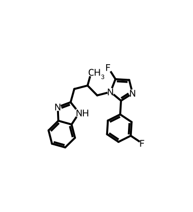 CC(Cc1nc2ccccc2[nH]1)Cn1c(F)cnc1-c1cccc(F)c1